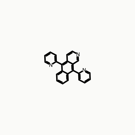 c1ccc(-c2c3ccccc3c(-c3ccccn3)c3cnccc23)nc1